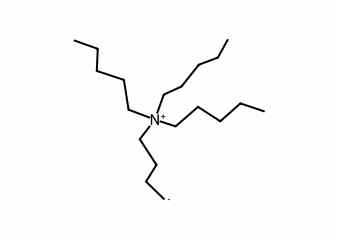 [CH2]CCC[N+](CCCCC)(CCCCC)CCCCC